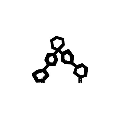 C1=CNCC(c2ccc(C3(c4ccc(-c5cccnc5)cc4)CCCCC3)cc2)=C1